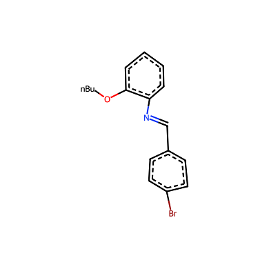 CCCCOc1ccccc1/N=C/c1ccc(Br)cc1